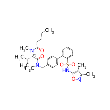 CCCCC(=O)N(C)[C@H](C(=O)N(C)Cc1ccc(-c2ccccc2S(=O)(=O)Nc2onc(C)c2C)cc1)C(C)C